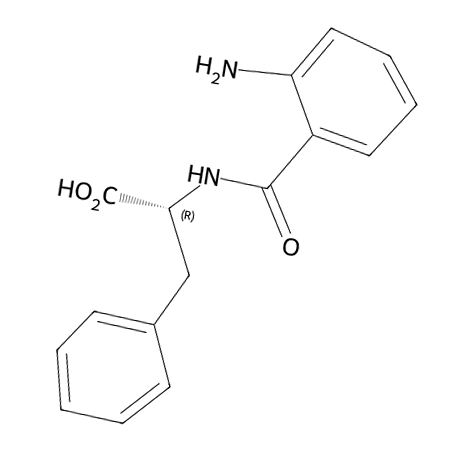 Nc1ccccc1C(=O)N[C@H](Cc1ccccc1)C(=O)O